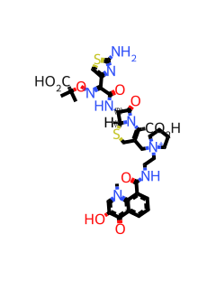 Cn1cc(O)c(=O)c2cccc(C(=O)NCC[N+]3(CC4=C(C(=O)O)N5C(=O)[C@@H](NC(=O)C(=NOC(C)(C)C(=O)O)c6csc(N)n6)[C@H]5SC4)CCCC3)c21